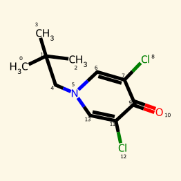 CC(C)(C)Cn1cc(Cl)c(=O)c(Cl)c1